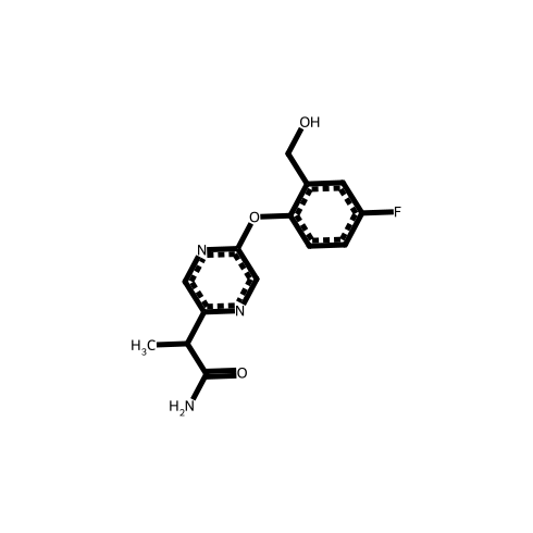 CC(C(N)=O)c1cnc(Oc2ccc(F)cc2CO)cn1